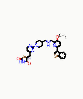 COc1ccc(-c2csc3ccccc23)nc1CNCC1CCN(c2nccc(/C=C3\SC(=O)NC3=O)n2)CC1